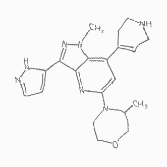 CC1COCCN1c1cc(C2=CCNCC2)c2c(n1)c(-c1ccn[nH]1)nn2C